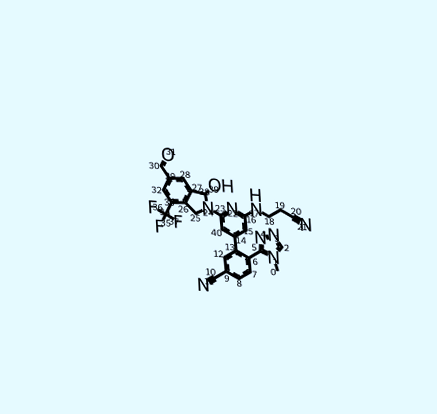 Cn1cnnc1-c1ccc(C#N)cc1-c1cc(NCCC#N)nc(N2Cc3c(cc(C=O)cc3C(F)(F)F)C2O)c1